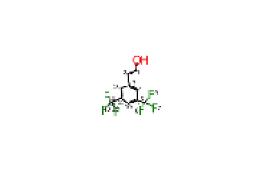 OC[CH]c1cc(C(F)(F)F)cc(C(F)(F)F)c1